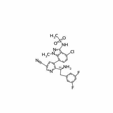 Cn1nc(NS(C)(=O)=O)c2c(Cl)ccc(-c3cc(C#N)cnc3[C@@H](N)Cc3cc(F)cc(F)c3)c21